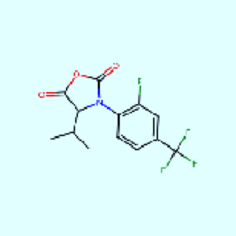 CC(C)C1C(=O)OC(=O)N1c1ccc(C(F)(F)F)cc1F